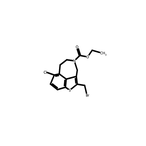 CCOC(=O)N1CCc2c(Cl)ccc3sc(CBr)c(c23)C1